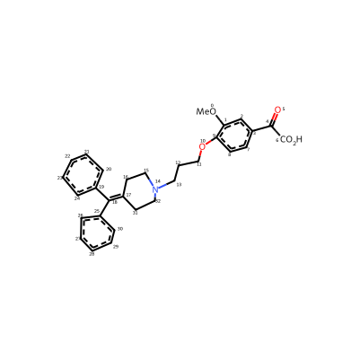 COc1cc(C(=O)C(=O)O)ccc1OCCCN1CCC(=C(c2ccccc2)c2ccccc2)CC1